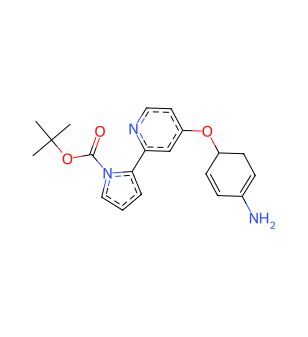 CC(C)(C)OC(=O)n1cccc1-c1cc(OC2C=CC(N)=CC2)ccn1